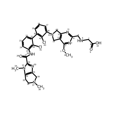 COc1nc(CNCC(=O)O)nc2c1CN(c1cccc(-c3cccc(NC(=O)c4nc5c(n4C)CCN(C)C5)c3Cl)c1Cl)C2